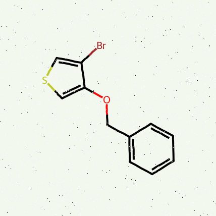 Brc1cscc1OCc1ccccc1